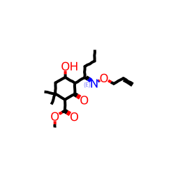 C=CCO/N=C(\CCC)C1C(=O)C(C(=O)OC)C(C)(C)CC1O